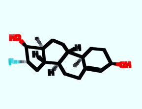 C[C@]12CC[C@H]3[C@@H](CCC4=C[C@H](O)CC[C@@]43C)[C@@H]1C[C@H](F)[C@H]2O